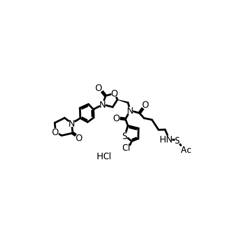 CC(=O)SNCCCCC(=O)N(C[C@H]1CN(c2ccc(N3CCOCC3=O)cc2)C(=O)O1)C(=O)c1ccc(Cl)s1.Cl